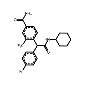 CC(C)c1ccc(C(C(=O)NC2CCCCC2)c2ccc(C(N)=O)cc2C(F)(F)F)cc1